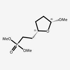 CO[C@H]1CC[C@@H](CCP(=O)(OC)OC)O1